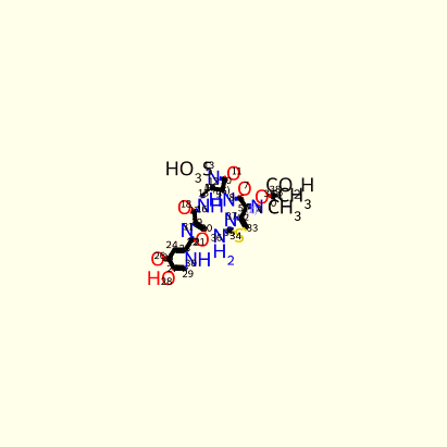 CC(C)(O/N=C(\C(=O)N[C@@H]1C(=O)N(S(=O)(=O)O)[C@@H]1CNC(=O)c1coc(-c2cc(=O)c(O)c[nH]2)n1)c1csc(N)n1)C(=O)O